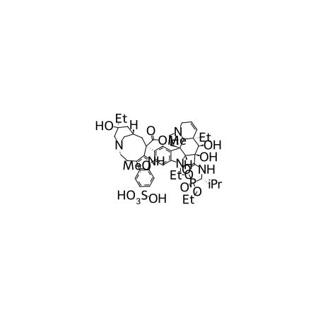 CCOP(=O)(OCC)[C@H](NC(=O)[C@@]1(O)[C@H](O)[C@]2(CC)C=CCN3CC[C@@]4(c5cc([C@@]6(C(=O)OC)C[C@@H]7C[N@](CCc8c6[nH]c6ccccc86)C[C@](O)(CC)C7)c(OC)cc5N(C)[C@@H]14)[C@@H]32)C(C)C.O=S(=O)(O)O